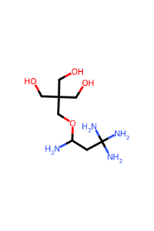 NC(CC(N)(N)N)OCC(CO)(CO)CO